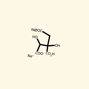 O=C([O-])CC(O)(C(=O)O)C(O)C(=O)[O-].[Na+].[Na+]